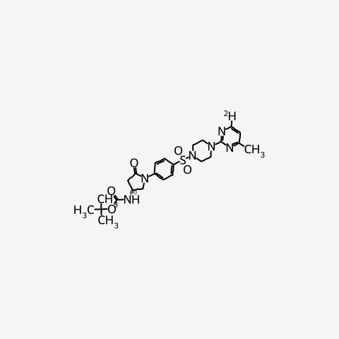 [2H]c1cc(C)nc(N2CCN(S(=O)(=O)c3ccc(N4C[C@H](NC(=O)OC(C)(C)C)CC4=O)cc3)CC2)n1